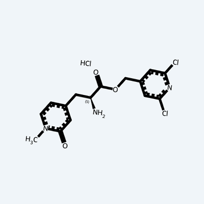 Cl.Cn1ccc(C[C@H](N)C(=O)OCc2cc(Cl)nc(Cl)c2)cc1=O